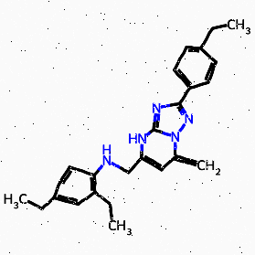 C=C1C=C(CNc2ccc(CC)cc2CC)Nc2nc(-c3ccc(CC)cc3)nn21